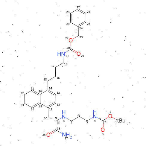 CC(C)(C)OC(=O)NCCCN[C@@H](Cc1ccc(CCCCNC(=O)OCc2ccccc2)c2ccccc12)C(N)=O